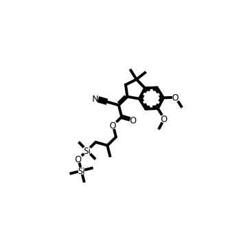 COc1cc2c(cc1OC)C(C)(C)CC2=C(C#N)C(=O)OCC(C)C[Si](C)(C)O[Si](C)(C)C